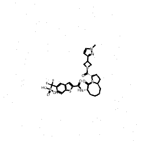 Cn1ccc(C2CN(C(=O)[C@@H]3CCC4CCCC[C@H](NC(=O)c5cc6cc(C(F)(F)P(=O)(O)O)ccc6s5)C(=O)N43)C2)n1